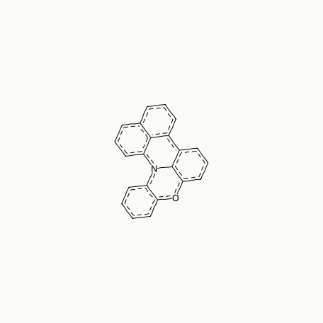 c1ccc2c(c1)oc1cccc3c1-n2c1cccc2cccc3c21